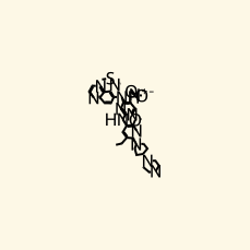 CCc1cc(Nc2ncc([N+](=O)[O-])c(Nc3ccc4nccnc4c3N(C)SC)n2)c(OC)nc1N1CCC(N2CCN(C)CC2)CC1